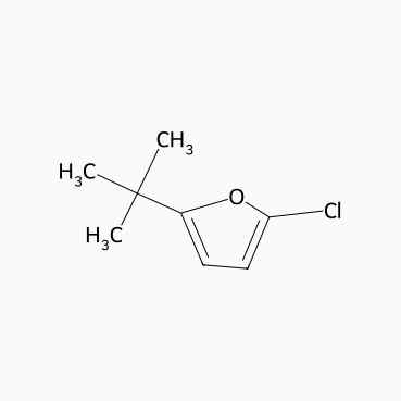 CC(C)(C)c1ccc(Cl)o1